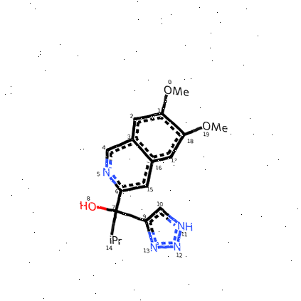 COc1cc2cnc(C(O)(c3c[nH]nn3)C(C)C)cc2cc1OC